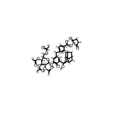 COC(=C1C2CC3CC(C2)CC1C3)c1cc(Cc2ccc(C(=O)ON3C(=O)CCC3=O)cc2)cc(O[C@@H]2OC(COC(C)=O)[C@H](OC(C)=O)C(OC(C)=O)[C@@H]2OC(C)=O)c1Cl